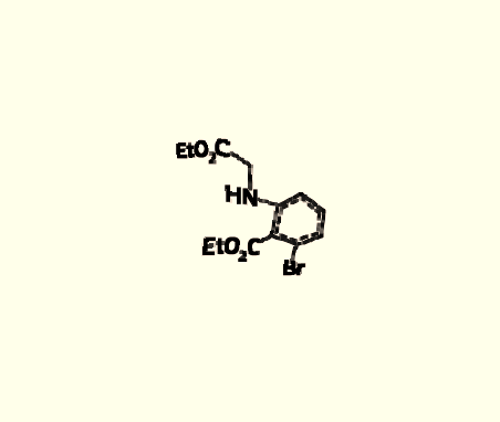 CCOC(=O)CNc1cccc(Br)c1C(=O)OCC